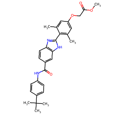 COC(=O)COc1cc(C)c(-c2nc3ccc(C(=O)Nc4ccc(C(C)(C)C)cc4)cc3[nH]2)c(C)c1